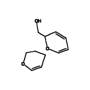 C1=COCCC1.OCC1C=CC=CO1